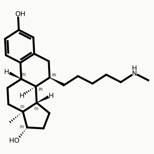 CNCCCCC[C@@H]1Cc2cc(O)ccc2[C@H]2CC[C@]3(C)[C@@H](O)CC[C@H]3[C@H]12